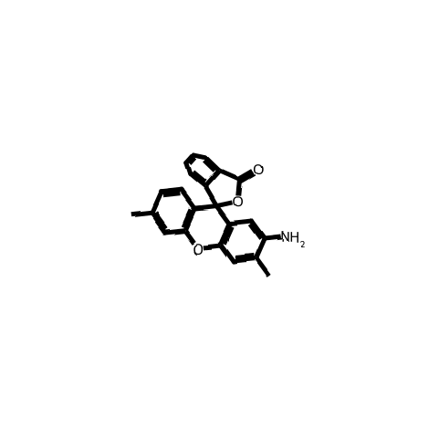 Cc1ccc2c(c1)Oc1cc(C)c(N)cc1C21OC(=O)c2ccccc21